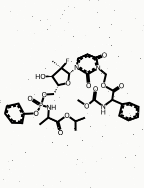 COC(=O)NC(C(=O)OCn1c(=O)ccn([C@@H]2O[C@H](COP(=O)(NC(C)C(=O)OC(C)C)Oc3ccccc3)[C@@H](O)[C@@]2(C)F)c1=O)c1ccccc1